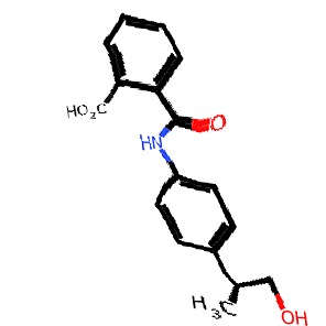 CC(CO)c1ccc(NC(=O)c2ccccc2C(=O)O)cc1